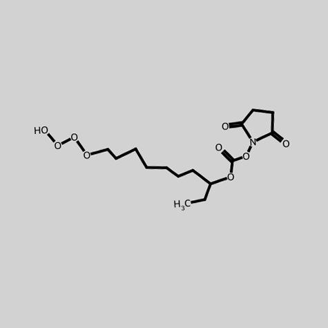 CCC(CCCCCCCOOOO)OC(=O)ON1C(=O)CCC1=O